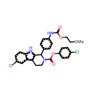 COCCOC(=O)Nc1ccc(C2c3[nH]c4ccc(Cl)cc4c3CCN2C(=O)Oc2ccc(Cl)cc2)cc1